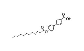 CCCCCCCCCCCC(=O)Oc1ccc(-c2ccc(C(=O)O)cc2)cc1